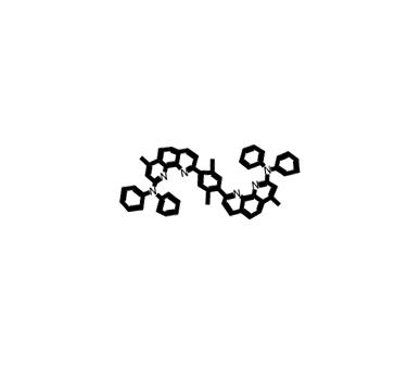 Cc1cc(-c2ccc3ccc4c(C)cc(N(c5ccccc5)c5ccccc5)nc4c3n2)c(C)cc1-c1ccc2ccc3c(C)cc(N(c4ccccc4)c4ccccc4)nc3c2n1